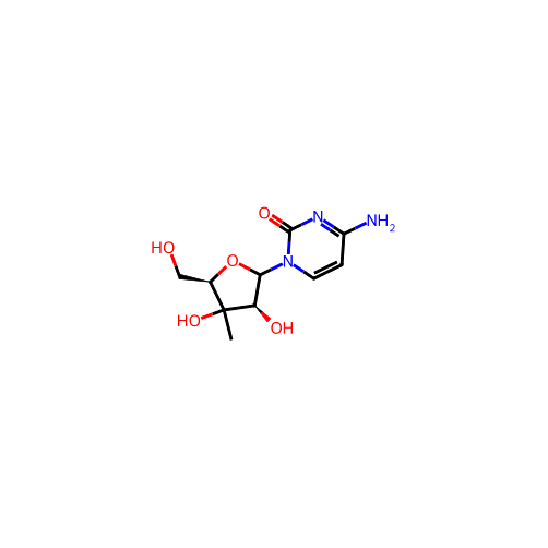 CC1(O)[C@H](O)C(n2ccc(N)nc2=O)O[C@@H]1CO